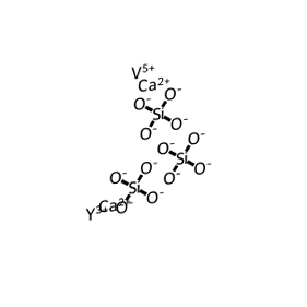 [Ca+2].[Ca+2].[O-][Si]([O-])([O-])[O-].[O-][Si]([O-])([O-])[O-].[O-][Si]([O-])([O-])[O-].[V+5].[Y+3]